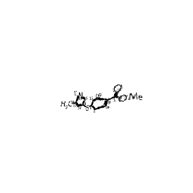 COC(=O)c1ccc(Sc2cncc(C)c2)cc1